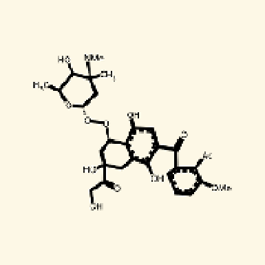 CN[C@@]1(C)C[C@H](OO[C@@H]2CC(O)(C(=O)CO)Cc3c(O)c(C(=O)c4cccc(OC)c4C(C)=O)cc(O)c32)OC(C)[C@H]1O